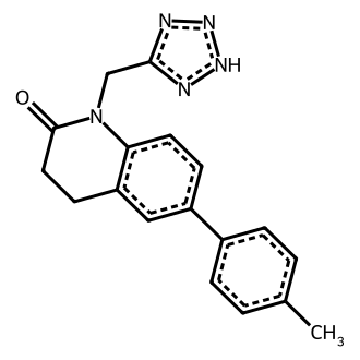 Cc1ccc(-c2ccc3c(c2)CCC(=O)N3Cc2nn[nH]n2)cc1